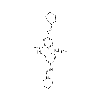 Cl.Cl.O=c1[nH]c2cc(N=CN3CCCCC3)ccc2c2ccc(N=CN3CCCCC3)cc12